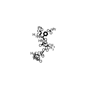 CCCC(=O)Oc1ccc(C(NC(C)=CC(=O)OC(C)C)C(=O)N[C@@H]2C(=O)N3[C@@H]2SC(C)(C)[C@@H]3C(=O)OCOC(=O)[C@@H]2N3C(=O)C[C@H]3S(=O)(=O)C2(C)C)cc1